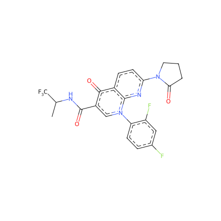 CC(NC(=O)c1cn(-c2ccc(F)cc2F)c2nc(N3CCCC3=O)ccc2c1=O)C(F)(F)F